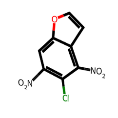 O=[N+]([O-])c1cc2occc2c([N+](=O)[O-])c1Cl